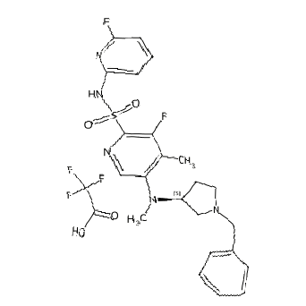 Cc1c(N(C)[C@H]2CCN(Cc3ccccc3)C2)cnc(S(=O)(=O)Nc2cccc(F)n2)c1F.O=C(O)C(F)(F)F